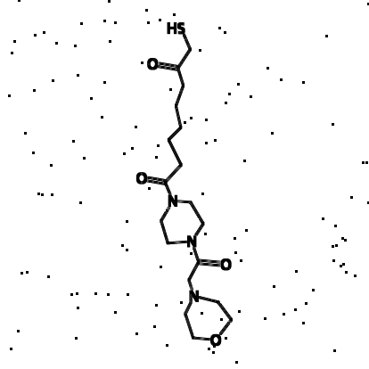 O=C(CS)CCCCCC(=O)N1CCN(C(=O)CN2CCOCC2)CC1